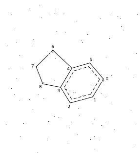 [c]1ccc2c(c1)[CH]CC2